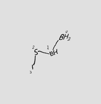 BBSI